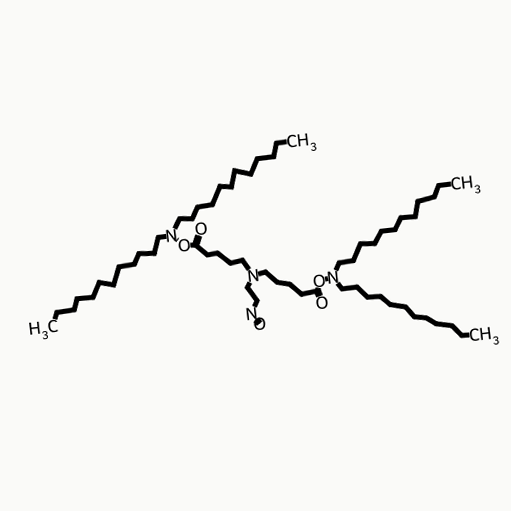 CCCCCCCCCCCCN(CCCCCCCCCCCC)OC(=O)CCCCN(CCCCC(=O)ON(CCCCCCCCCCCC)CCCCCCCCCCCC)CCN=O